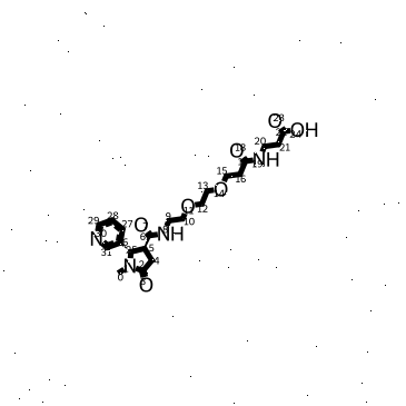 CN1C(=O)C[C@H](C(=O)NCCOCCOCCC(=O)NCCC(=O)O)[C@H]1c1cccnc1